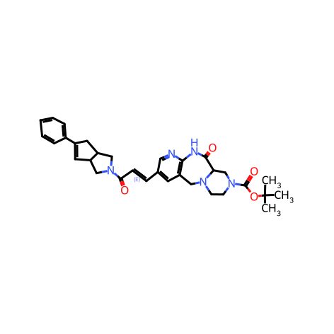 CC(C)(C)OC(=O)N1CCN2Cc3cc(/C=C/C(=O)N4CC5C=C(c6ccccc6)CC5C4)cnc3NC(=O)C2C1